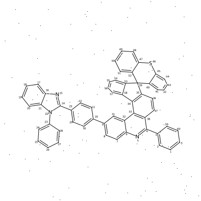 c1ccc(-c2nc3ccc(-c4ccc(-c5nc6ccccc6n5-c5ccccc5)cc4)cc3c3c4c(ccc23)C2(c3ccccc3Sc3ccccc32)c2ccccc2-4)cc1